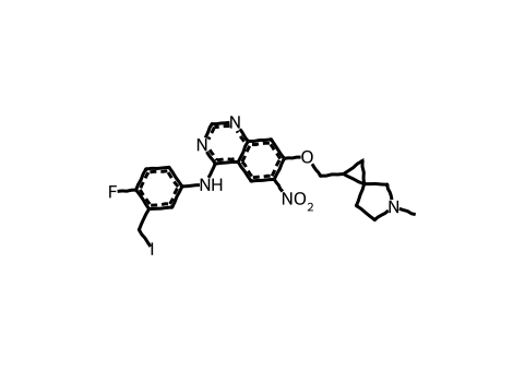 CN1CCC2(CC2COc2cc3ncnc(Nc4ccc(F)c(CI)c4)c3cc2[N+](=O)[O-])C1